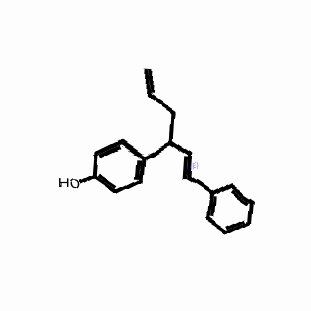 C=CCC(/C=C/c1ccccc1)c1ccc(O)cc1